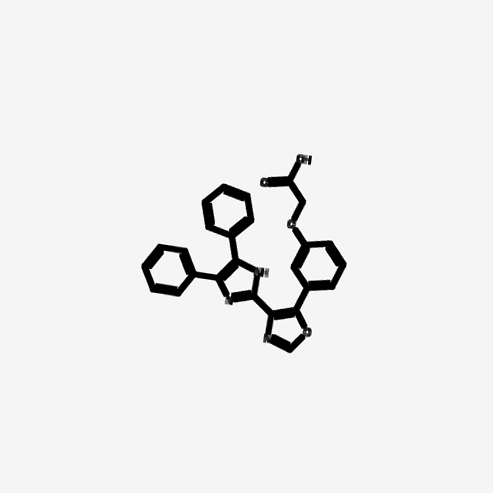 O=C(O)COc1cccc(-c2ocnc2-c2nc(-c3ccccc3)c(-c3ccccc3)[nH]2)c1